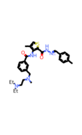 CCN(CC)CCN(C)Cc1cccc(C(=O)Nc2c(C)csc2C(=O)N/N=C/c2ccc(C)cc2)c1